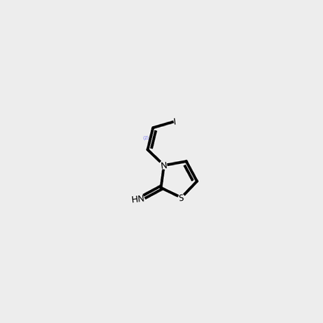 N=c1sccn1/C=C\I